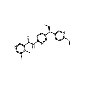 C/C=C(\c1ccc(NC(=O)c2cncc(F)c2C)nc1)c1ccc(OC)nc1